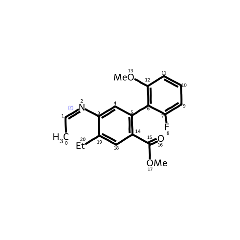 C/C=N\c1cc(-c2c(F)cccc2OC)c(C(=O)OC)cc1CC